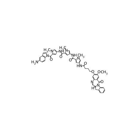 COc1cc2c(cc1OCCCC(=O)Nc1cc(C(=O)Nc3cc(C(=O)Nc4cc(C(=O)n5ccc6cc(N)ccc65)n(C)c4)n(C)c3)n(C)c1)N=C[C@@H]1Cc3ccccc3N1C2=O